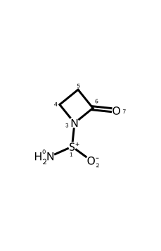 N[S+]([O-])N1CCC1=O